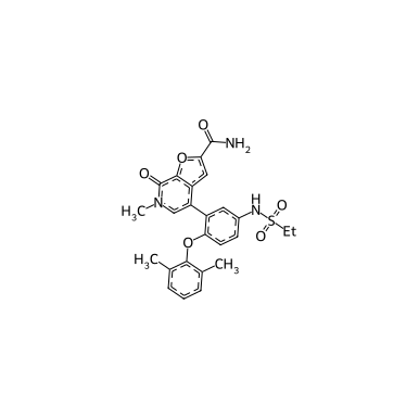 CCS(=O)(=O)Nc1ccc(Oc2c(C)cccc2C)c(-c2cn(C)c(=O)c3oc(C(N)=O)cc23)c1